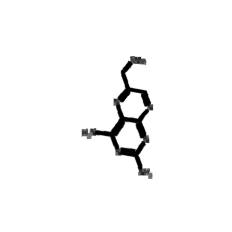 CSCc1cnc2nc(N)nc(N)c2n1